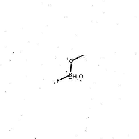 COBF.O